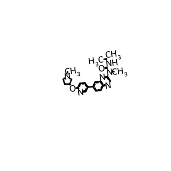 CC(C)NC(=O)N(C)c1cnc2ccc(-c3ccc(OC4CCN(C)C4)nc3)cc2n1